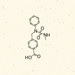 CNS(=O)(=O)N(Cc1ccc(C(=O)O)cc1)c1ccccc1